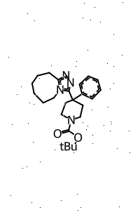 CC(C)(C)OC(=O)N1CCC(c2ccccc2)(c2nnc3n2CCCCCC3)CC1